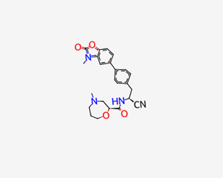 CN1CCCO[C@H](C(=O)N[C@H](C#N)Cc2ccc(-c3ccc4oc(=O)n(C)c4c3)cc2)C1